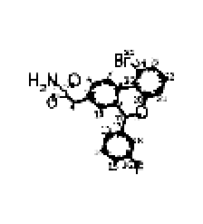 NS(=O)(=O)Cc1ccc2c(c1)C(c1cccc(F)c1)Oc1cccc(Br)c1-2